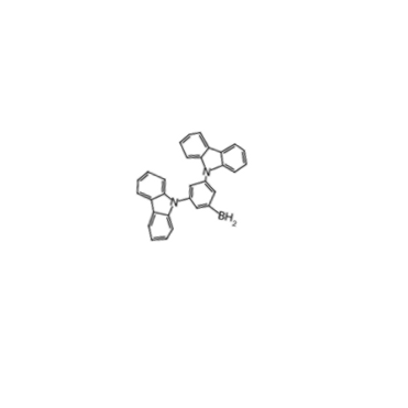 Bc1cc(-n2c3ccccc3c3ccccc32)cc(-n2c3ccccc3c3ccccc32)c1